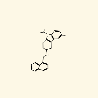 CCC(C(=O)O)n1c2c(c3cc(F)ccc31)CC(NCc1cccc3ccccc13)CC2